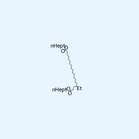 CCCCCCCOC(=O)CCCCCCCCCCCCCCCC(CC)CCC(=O)OCCCCCCC